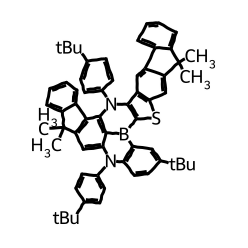 CC(C)(C)c1ccc(N2c3ccc(C(C)(C)C)cc3B3c4sc5cc6c(cc5c4N(c4ccc(C(C)(C)C)cc4)c4c3c2cc2c4-c3ccccc3C2(C)C)-c2ccccc2C6(C)C)cc1